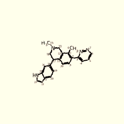 Cc1c(-c2cccnn2)ccc2c1CN(C)CC2c1ccc2cc[nH]c2c1